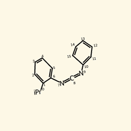 CC(C)c1ccccc1N=C=Nc1ccccc1